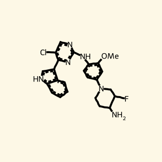 COc1cc(N2CCC(N)C(F)C2)ccc1Nc1ncc(Cl)c(-c2c[nH]c3ccccc23)n1